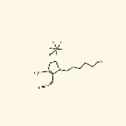 CCCCCCN1CC[N+](C)=C1N=[N+]=[N-].F[P-](F)(F)(F)(F)F